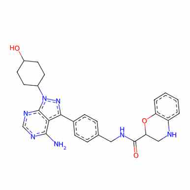 Nc1ncnc2c1c(-c1ccc(CNC(=O)C3CNc4ccccc4O3)cc1)nn2C1CCC(O)CC1